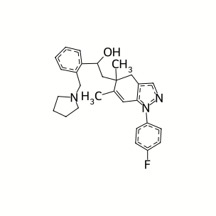 CC1=Cc2c(cnn2-c2ccc(F)cc2)CC1(C)CC(O)c1ccccc1CN1CCCC1